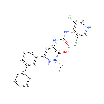 CCn1nc(-c2cccc(-c3ccccc3)c2)cc(NC(=O)Nc2c(Cl)cncc2Cl)c1=O